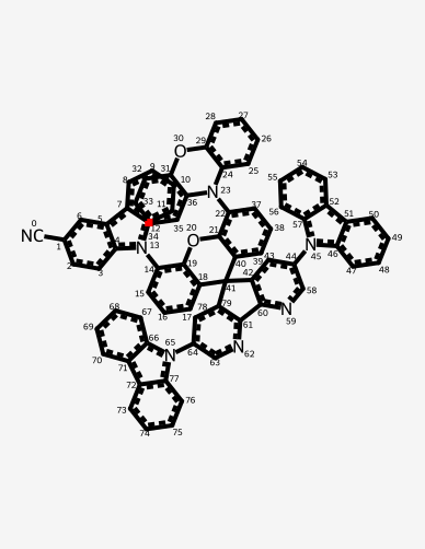 N#Cc1ccc2c(c1)c1ccccc1n2-c1cccc2c1Oc1c(N3c4ccccc4Oc4ccccc43)cccc1C21c2cc(-n3c4ccccc4c4ccccc43)cnc2-c2ncc(-n3c4ccccc4c4ccccc43)cc21